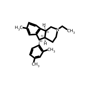 CCN1CC[C@H]2[C@H](c3ccc(C)cc3C)c3cc(C)ccc3[C@H]2C1